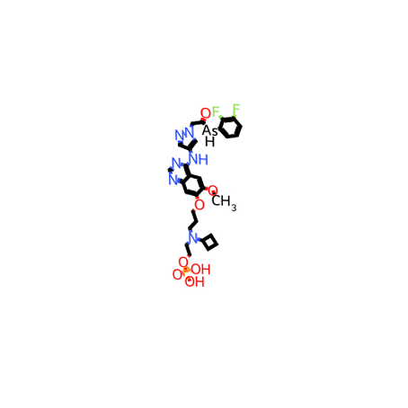 COc1cc2c(Nc3cnn(CC(=O)[AsH]c4cccc(F)c4F)c3)ncnc2cc1OCCCN(CCOP(=O)(O)O)C1CCC1